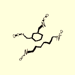 O=C=NCC1CCCC(CN=C=O)C1.O=C=NCCCCCCN=C=O